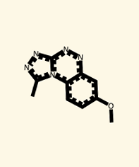 COc1ccc2c(c1)nnc1nnc(C)n12